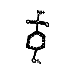 Cc1ccc(S([NH])(=O)=O)cc1